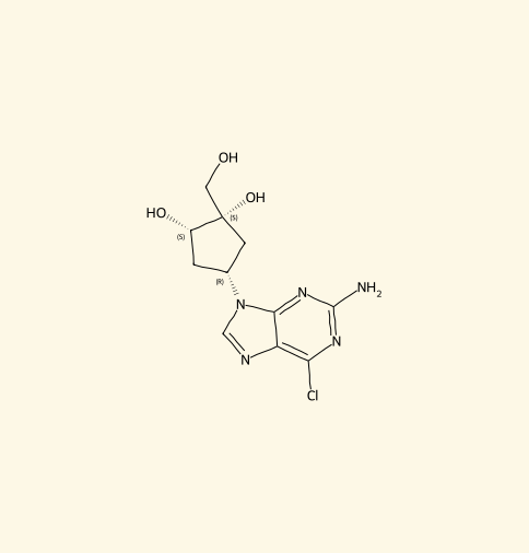 Nc1nc(Cl)c2ncn([C@@H]3C[C@H](O)[C@@](O)(CO)C3)c2n1